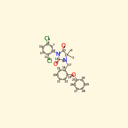 CC1(C)C(=O)N(c2cc(Cl)ccc2Cl)C(=O)N1Cc1ccccc1Oc1ccccc1